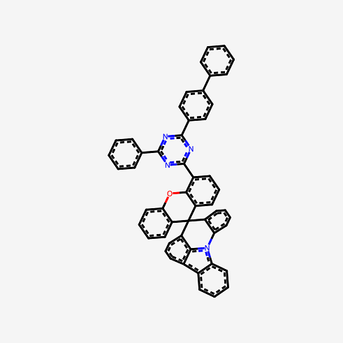 c1ccc(-c2ccc(-c3nc(-c4ccccc4)nc(-c4cccc5c4Oc4ccccc4C54c5ccccc5-n5c6ccccc6c6cccc4c65)n3)cc2)cc1